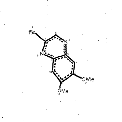 COc1cc2ncc(C(C)(C)C)nc2cc1OC